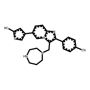 N#Cc1ccc(-c2nc3ccc(-c4csc(C#N)c4)cn3c2CN2CCCNCC2)cc1